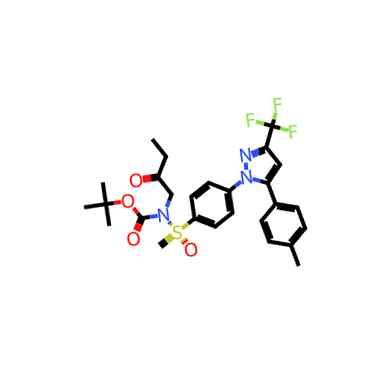 C=S(=O)(c1ccc(-n2nc(C(F)(F)F)cc2-c2ccc(C)cc2)cc1)N(CC(=O)CC)C(=O)OC(C)(C)C